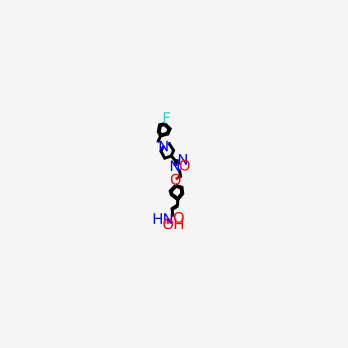 O=C(C=Cc1ccc(OCc2nc(C3CCN(Cc4ccc(F)cc4)CC3)no2)cc1)NO